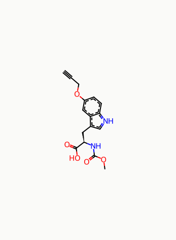 C#CCOc1ccc2[nH]cc(C[C@@H](NC(=O)OC)C(=O)O)c2c1